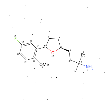 CCC(C)(N)CC[C@@H]1CCC(c2cc(F)ccc2OC)O1